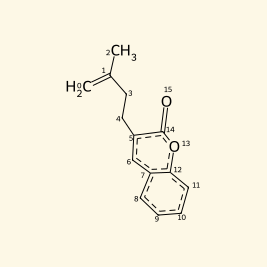 C=C(C)CCc1cc2ccccc2oc1=O